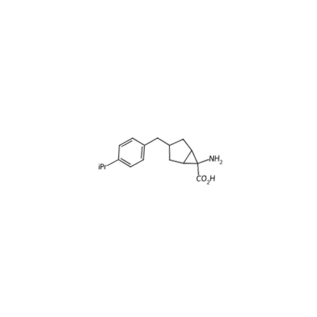 CC(C)c1ccc(CC2CC3C(C2)C3(N)C(=O)O)cc1